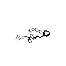 C=CC(=O)OCCCc1ccccc1.CC(=O)O